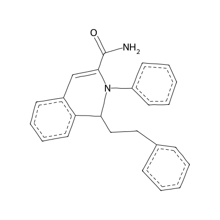 NC(=O)C1=Cc2ccccc2C(CCc2ccccc2)N1c1ccccc1